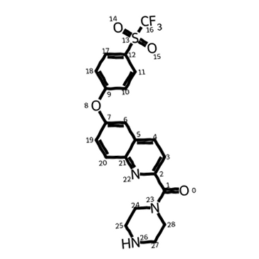 O=C(c1ccc2cc(Oc3ccc(S(=O)(=O)C(F)(F)F)cc3)ccc2n1)N1CCNCC1